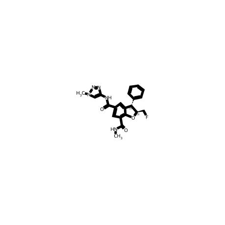 CNC(=O)c1cc(C(=O)Nc2cn(C)nn2)cc2c1O[C@H](CF)[C@H]2c1ccccc1